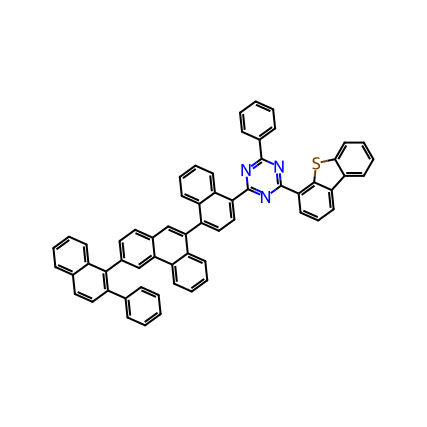 c1ccc(-c2nc(-c3ccc(-c4cc5ccc(-c6c(-c7ccccc7)ccc7ccccc67)cc5c5ccccc45)c4ccccc34)nc(-c3cccc4c3sc3ccccc34)n2)cc1